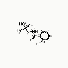 CC(C)(O)CNC(=O)c1cc[c]cc1F